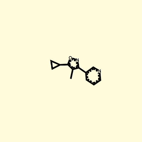 Cc1c(-c2cccnc2)noc1C1CC1